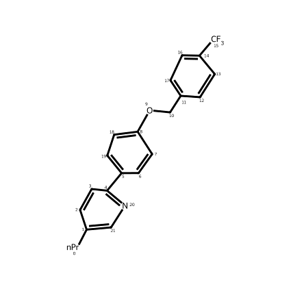 CCCc1ccc(-c2ccc(OCc3ccc(C(F)(F)F)cc3)cc2)nc1